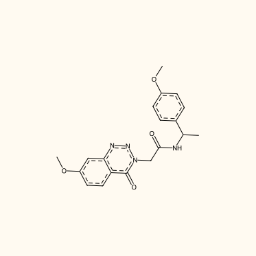 COc1ccc(C(C)NC(=O)Cn2nnc3cc(OC)ccc3c2=O)cc1